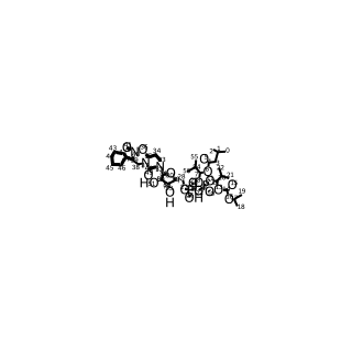 CC(C)CC(=O)OC(OP(=O)(OC(OC(=O)OC(C)C)C(C)C)OP(=O)(O)OC[C@H]1O[C@@H](n2ccc(=O)n(Cc3noc4ccccc34)c2=O)[C@@H](O)[C@H]1O)C(C)C